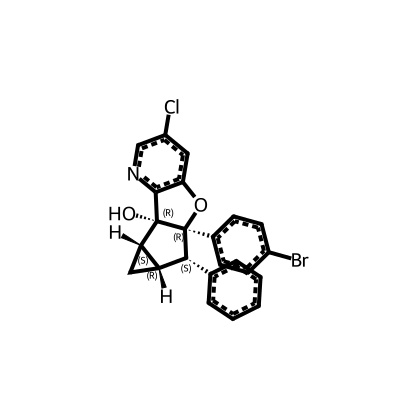 O[C@]12c3ncc(Cl)cc3O[C@@]1(c1ccc(Br)cc1)[C@H](c1ccccc1)[C@@H]1C[C@@H]12